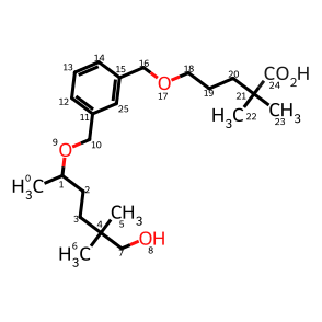 CC(CCC(C)(C)CO)OCc1cccc(COCCCC(C)(C)C(=O)O)c1